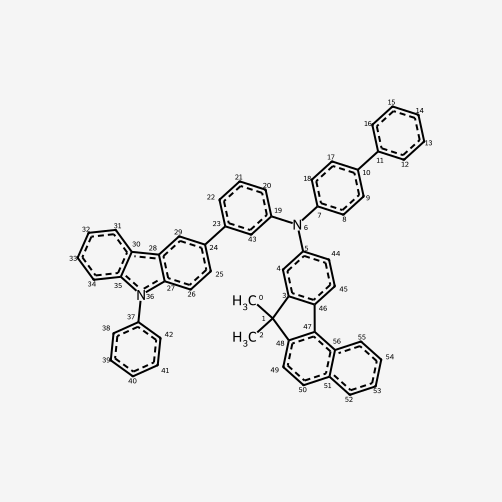 CC1(C)c2cc(N(c3ccc(-c4ccccc4)cc3)c3cccc(-c4ccc5c(c4)c4ccccc4n5-c4ccccc4)c3)ccc2-c2c1ccc1ccccc21